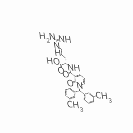 Cc1cccc(C(c2cccc(C)c2)n2cccc(C(=O)N[C@@H](CCCNC(=N)N)C(=O)O)c2=O)c1